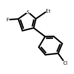 CCc1sc(F)cc1-c1ccc(Cl)cc1